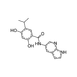 CC(C)c1cc(C(=O)Nc2cnc3[nH]ccc3c2)c(O)cc1O